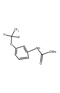 [CH2]OC(=O)Nc1cccc(OC(F)(F)C(F)(F)F)c1